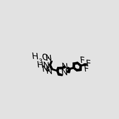 C/N=C\c1[nH]nnc1-c1ccn2cc(-c3ccc(C(F)(F)F)cc3)nc2c1